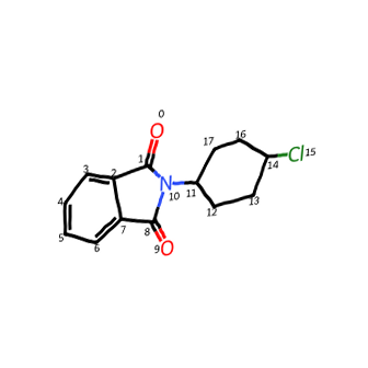 O=C1c2ccccc2C(=O)N1C1CCC(Cl)CC1